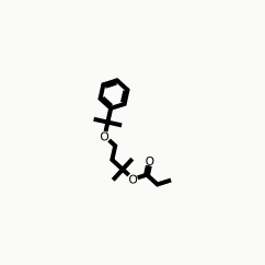 CCC(=O)OC(C)(C)CCOC(C)(C)c1ccccc1